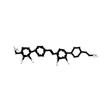 CCCC1CCC(c2ccc(/C=C/c3ccc(-c4ccc(CC)c(F)c4F)cc3)c(F)c2F)CC1